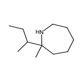 CCC(C)C1(C)CCCCCN1